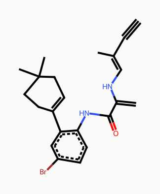 C#C/C(C)=C/NC(=C)C(=O)Nc1ccc(Br)cc1C1=CCC(C)(C)CC1